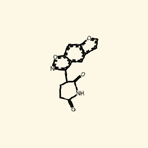 O=C1CCC(c2noc3cc4occc4cc23)C(=O)N1